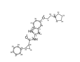 O=C(Nc1nc2cc(OCCN3CCCC3)ccc2[nH]1)C1CC1c1ccccc1